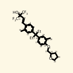 CCC(CC)(c1ccc(C=CC(O)(C(F)(F)F)C(F)(F)F)c(C)c1)c1ccc(OCC2CCCO2)c(C)c1